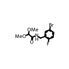 COC(OC)C(=O)NCc1cc(Br)ccc1F